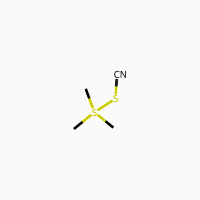 CS(C)(C)SC#N